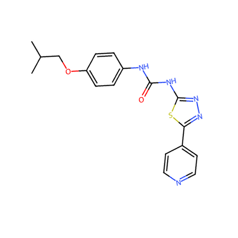 CC(C)COc1ccc(NC(=O)Nc2nnc(-c3ccncc3)s2)cc1